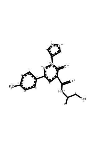 CC(CO)NC(=O)c1cc(-c2ccc(C(F)(F)F)cc2)nn(-c2cnsc2)c1=O